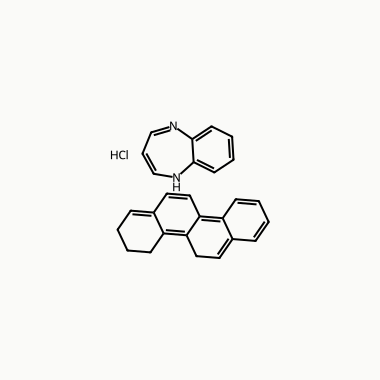 C1=CNc2ccccc2N=C1.C1=c2ccc3c(c2CCC1)CC=c1ccccc1=3.Cl